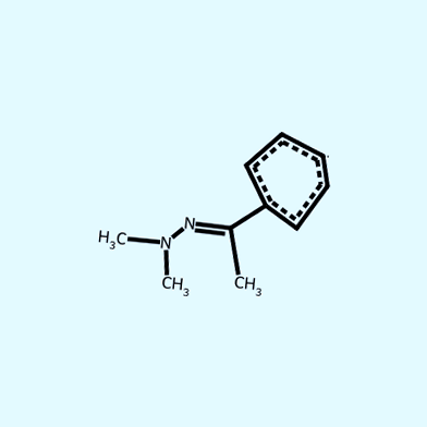 C/C(=N\N(C)C)c1cc[c]cc1